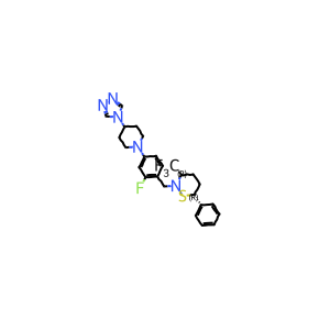 Fc1cc(N2CCC(n3cnnc3)CC2)ccc1CN1S[C@@H](c2ccccc2)CC[C@@H]1C(F)(F)F